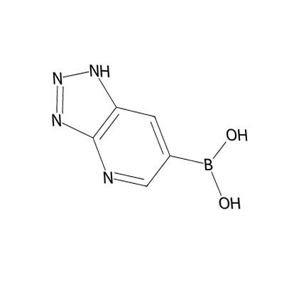 OB(O)c1cnc2nn[nH]c2c1